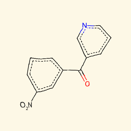 O=C(c1cccnc1)c1cccc([N+](=O)[O-])c1